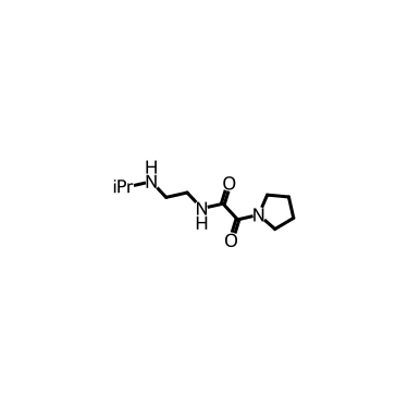 CC(C)NCCNC(=O)C(=O)N1CCCC1